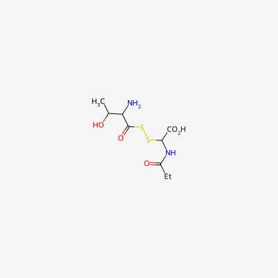 CCC(=O)NC(SSC(=O)C(N)C(C)O)C(=O)O